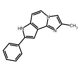 Cc1cn2ccc3[nH]c(-c4ccccc4)cc3c2n1